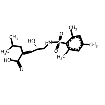 Cc1cc(C)c(S(=O)(=O)NC[C@@H](O)/C=C(\CC(C)C)C(=O)O)c(C)c1